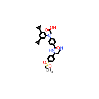 CCS(=O)(=O)c1ccc([C@H](CC#N)NC(=O)c2ccc(N(CC(=O)O)c3cc(C4CC4)cc(C4CC4)c3)cc2)cc1